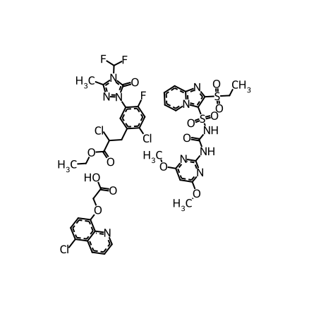 CCOC(=O)C(Cl)Cc1cc(-n2nc(C)n(C(F)F)c2=O)c(F)cc1Cl.CCS(=O)(=O)c1nc2ccccn2c1S(=O)(=O)NC(=O)Nc1nc(OC)cc(OC)n1.O=C(O)COc1ccc(Cl)c2cccnc12